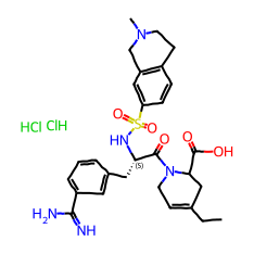 CCC1=CCN(C(=O)[C@H](Cc2cccc(C(=N)N)c2)NS(=O)(=O)c2ccc3c(c2)CN(C)CC3)C(C(=O)O)C1.Cl.Cl